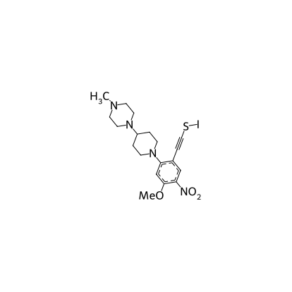 COc1cc(N2CCC(N3CCN(C)CC3)CC2)c(C#CSI)cc1[N+](=O)[O-]